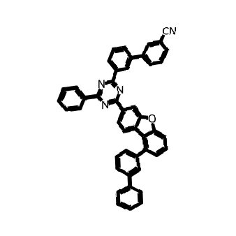 N#Cc1cccc(-c2cccc(-c3nc(-c4ccccc4)nc(-c4ccc5c(c4)oc4cccc(-c6cccc(-c7ccccc7)c6)c45)n3)c2)c1